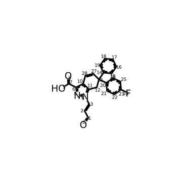 O=CC=Cn1nc(C(=O)O)c2c1CC(c1ccccc1)(c1ccc(F)cc1)C=C2